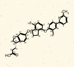 Cc1cccc(-c2ccc(Oc3ccc(F)c4c3CC[C@H]4Oc3ccc4c(c3)OC[C@H]4CCC(=O)O)c(F)c2)n1